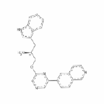 N[C@H](COc1cncc(-c2ccc3cnccc3c2)n1)Cc1c[nH]c2ccccc12